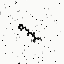 N=C(N)NCCC(=O)SCCn1cnnn1